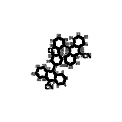 N#Cc1c2ccccc2c(-c2ccc3c(c2)oc2cccc(-c4c5ccccc5c(C#N)c5ccccc45)c23)c2ccccc12